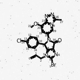 C=CCn1c(Br)nc2c1C(c1ccc(Cl)cc1)N(c1cc(OC)c3nnc(C)n3c1)C2=O